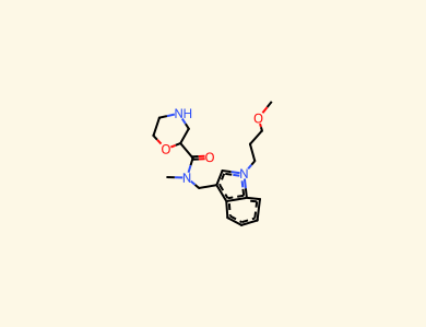 COCCCn1cc(CN(C)C(=O)C2CNCCO2)c2ccccc21